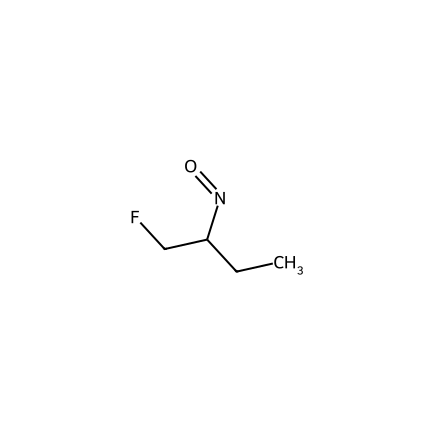 CCC(CF)N=O